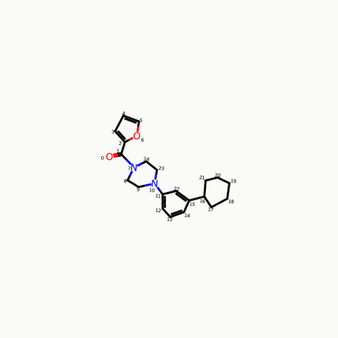 O=C(c1ccco1)N1CCN(c2c[c]cc(C3CCCCC3)c2)CC1